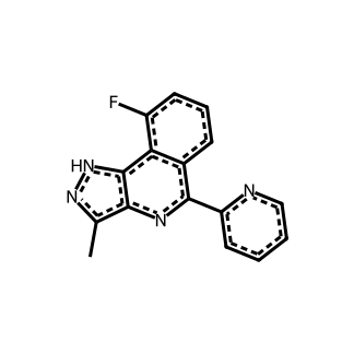 Cc1n[nH]c2c1nc(-c1ccccn1)c1cccc(F)c12